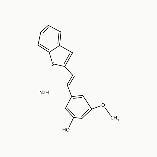 COc1cc(O)cc(C=Cc2cc3ccccc3s2)c1.[NaH]